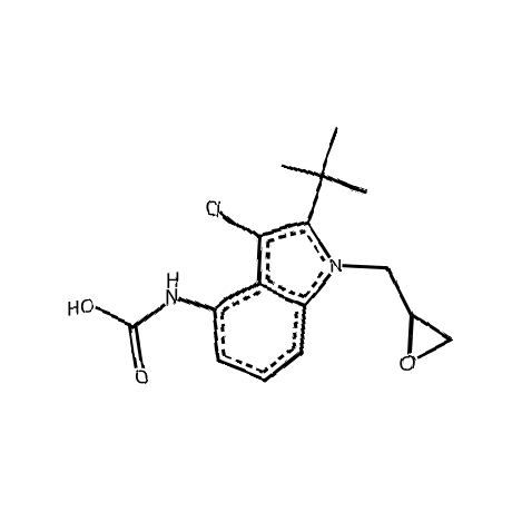 CC(C)(C)c1c(Cl)c2c(NC(=O)O)cccc2n1CC1CO1